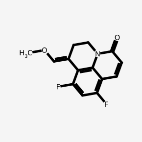 COC=C1CCn2c(=O)ccc3c(F)cc(F)c1c32